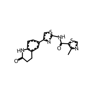 Cc1ncsc1C(=O)Nc1nc(-c2ccc3c(c2)CCC(=O)N3)cs1